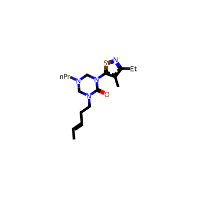 C/C=C/CCN1CN(CCC)CN(c2snc(CC)c2C)C1=O